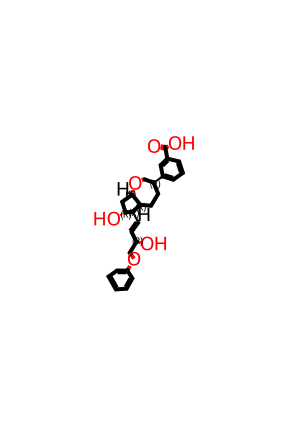 O=C(O)c1cccc([C@H]2CC[C@@H]3[C@@H](C=C[C@@H](O)COc4ccccc4)[C@H](O)C[C@@H]3OC2)c1